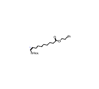 CCCCCC/C=C\CCCCCCCC(=O)OCCC(C)C